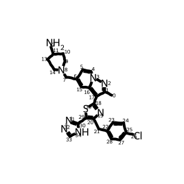 Cc1nn2ccc(CN3CCC(N)CC3)cc2c1-c1nc(Cc2ccc(Cl)cc2)c(-c2nnc[nH]2)s1